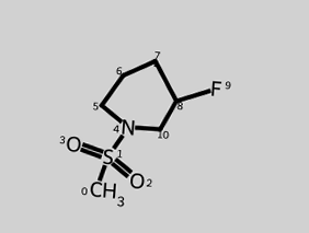 CS(=O)(=O)N1CC[CH]C(F)C1